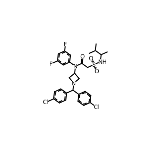 CC(C)C(C)NS(=O)(=O)CC(=O)N(c1cc(F)cc(F)c1)C1CN(C(c2ccc(Cl)cc2)c2ccc(Cl)cc2)C1